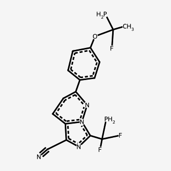 CC(F)(P)Oc1ccc(-c2ccc3c(C#N)nc(C(F)(F)P)n3n2)cc1